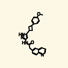 COc1ccc(C2CC(c3cc(NC(=O)Cc4ccc5ncccc5c4)n[nH]3)C2)cc1